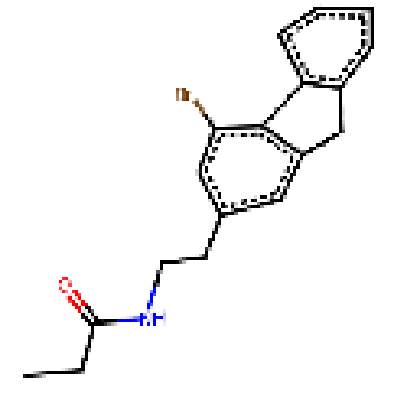 CCC(=O)NCCc1cc(Br)c2c(c1)Cc1ccccc1-2